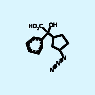 [N-]=[N+]=NC1CCC([C@](O)(C(=O)O)c2ccccc2)C1